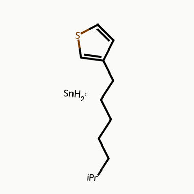 CC(C)CCCCCc1ccsc1.[SnH2]